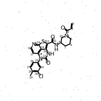 C=CC(=O)N1CCC[C@@H](NC(=O)c2sc3nccc4c3c2NC(=O)N4c2ccc(C)c(Cl)c2)C1